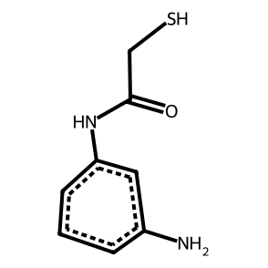 Nc1cccc(NC(=O)CS)c1